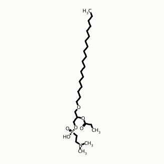 CCCCCCCCCCCCCCCCCCCOCC(COP(=O)(O)CCN(C)C)OC(=O)CC